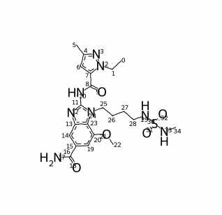 CCn1nc(C)cc1C(=O)Nc1nc2cc(C(N)=O)cc(OC)c2n1CCCCNS(=O)(=O)NC